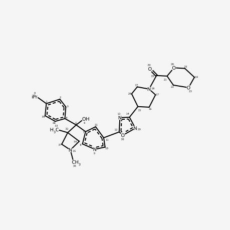 CC(C)c1ccc(C(O)(c2cncc(-c3nc(C4CCN(C(=O)C5COCCO5)CC4)no3)c2)C2(C)CN(C)C2)cc1